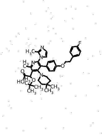 Cc1nc(-n2ccnc2C)c(-c2ccc(OCCc3ccc(F)cc3)cc2)c(N2CCC(C)(C)CC2)c1C(OC(C)(C)C)C(=O)O